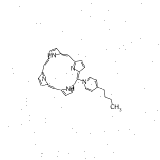 CCCCc1cc[n+](-c2c3nc(cc4ccc(cc5nc(cc6ccc2[nH]6)C=C5)[nH]4)C=C3)cc1